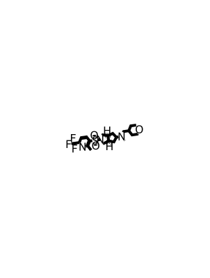 Cc1nc(C(F)(F)F)ccc1S(=O)(=O)N1C[C@H]2CC(N(C)CC3CCOCC3)C[C@H]2C1